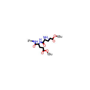 CC(C)NC(=O)C(CCC(=O)OC(C)(C)C)NC(=O)[C@@H](N)CCC(=O)OC(C)(C)C